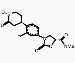 CNC(=O)[C@H]1CN(c2ccc([C@@H]3CC[S@@+]([O-])C(=O)C3)c(F)c2)C(=O)O1